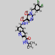 CC(C)NC(=O)c1cnc2ccc(CNC(=O)c3cncn(Cc4ccc(F)c(F)c4)c3=O)cc2c1